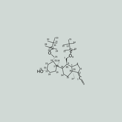 C=C=C1CCC2[C@H](CO[Si](C)(C)C(C)(C)C)C([C@@]3(C)CC[C@H](O)C[C@@H]3CO[Si](C)(C)C(C)(C)C)CC[C@]12C